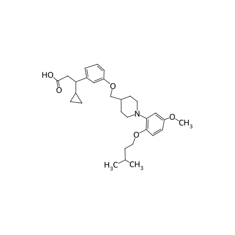 COc1ccc(OCCC(C)C)c(N2CCC(COc3cccc(C(CC(=O)O)C4CC4)c3)CC2)c1